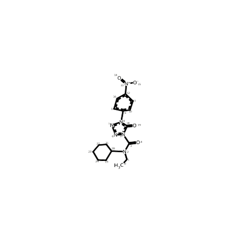 CCN(C(=O)n1nnn(-c2ccc([N+](=O)[O-])cc2)c1=O)C1CCCCC1